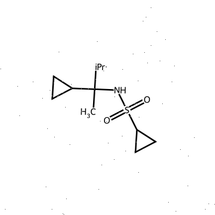 C[C](C)C(C)(NS(=O)(=O)C1CC1)C1CC1